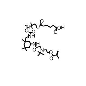 C=C(C)C(=O)OCCN(CC(=O)NC1CC(C)(C)CC(C)(CNC(=O)ON(C)C(C)(C)COC(=O)CCCCC(=O)O)C1)C(C)(C)C